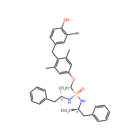 CCOC(=O)[C@H](Cc1ccccc1)NP(=O)(COc1cc(C)c(Cc2ccc(O)c(C(C)C)c2)c(C)c1)N[C@H](Cc1ccccc1)C(=O)OCC